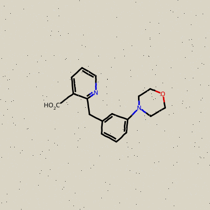 O=C(O)c1cccnc1Cc1cccc(N2CCOCC2)c1